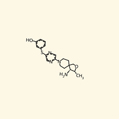 C[C@@H]1OCC2(CCN(c3cnc(Sc4cccc(O)c4)cn3)CC2)[C@@H]1N